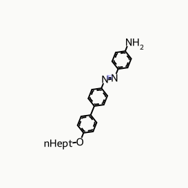 CCCCCCCOc1ccc(-c2ccc(/N=N/c3ccc(N)cc3)cc2)cc1